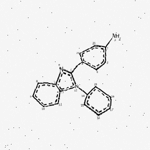 Nc1ccc(-c2nc3ccccc3n2-c2ccccc2)cc1